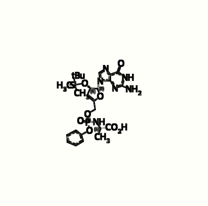 C[C@H](N[P@](=O)(OCC1=C[C@@H](O[Si](C)(C)C(C)(C)C)[C@H](n2cnc3c(=O)[nH]c(N)nc32)O1)Oc1ccccc1)C(=O)O